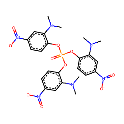 CN(C)c1cc([N+](=O)[O-])ccc1OP(=O)(Oc1ccc([N+](=O)[O-])cc1N(C)C)Oc1ccc([N+](=O)[O-])cc1N(C)C